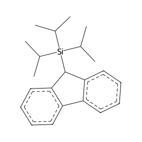 CC(C)[Si](C(C)C)(C(C)C)C1c2ccccc2-c2ccccc21